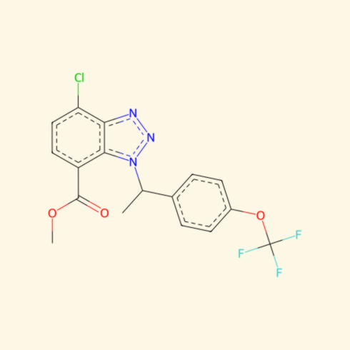 COC(=O)c1ccc(Cl)c2nnn(C(C)c3ccc(OC(F)(F)F)cc3)c12